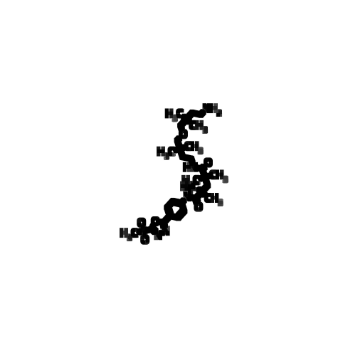 CC(C)(CCN)COCC(C)(C)CCNC(=O)C(C)(C)CC(C)(C)C(=O)Nc1ccc(-c2nnc(S(C)(=O)=O)o2)cc1